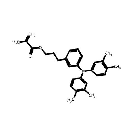 C=C(C)C(=O)OCCCc1cccc(N(c2ccc(C)c(C)c2)c2ccc(C)c(C)c2)c1